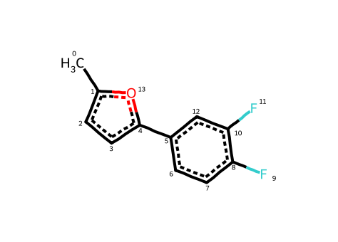 Cc1ccc(-c2ccc(F)c(F)c2)o1